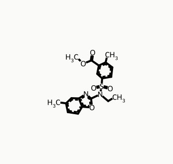 CCN(c1nc2cc(C)ccc2o1)S(=O)(=O)c1ccc(C)c(C(=O)OC)c1